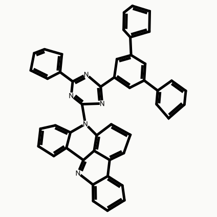 c1ccc(-c2cc(-c3ccccc3)cc(-c3nc(-c4ccccc4)nc(N4c5ccccc5-c5nc6ccccc6c6cccc4c56)n3)c2)cc1